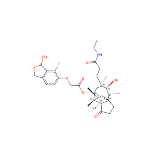 CCNC(=O)CC[C@]1(C)C[C@@H](OC(=O)COc2ccc3c(c2F)B(O)OC3)[C@]2(C)[C@H](C)CC[C@]3(CCC(=O)[C@H]32)[C@@H](C)[C@@H]1O